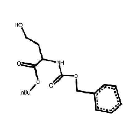 CCCCOC(=O)C(CCO)NC(=O)OCc1ccccc1